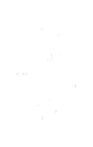 C=C(C)C1CCC(C)=CC1c1c(OCOC(=O)C(CC)CC)cc(CCCCC)cc1OCOC(=O)C(CC)CC